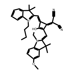 CCCC[N+]1=C(/C=C2C(O)=C(/C=C3\N(CC)c4ccc(OC)cc4C3(C)C)C\2=C(C#N)C#N)C(C)(C)c2ccccc21